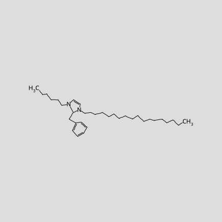 CCCCCCCCCCCCCCCCCCN1C=CN(CCCCCC)C1Cc1ccccc1